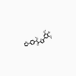 COc1cc(-c2ccc(C(=O)C(OC)c3ccc(-n4cccn4)cc3)o2)cc(OC)c1Br